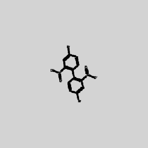 O=[N+]([O-])c1cc(Br)ccc1-c1ccc(Br)cc1[N+](=O)[O-]